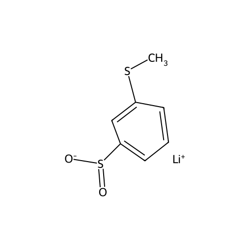 CSc1cccc(S(=O)[O-])c1.[Li+]